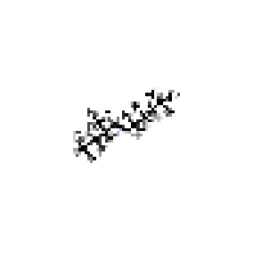 FC(F)(F)C(F)(F)C(F)(F)C(F)(F)/C=C/C(F)(C(F)(F)F)C(F)(F)C(F)(F)F